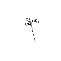 CCCCCCCCCCCCCCCCOCCCc1nc(N)c2nc(-c3cccc4ccccc34)n(CCOCP(=O)(O)O)c2n1